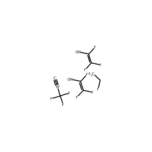 FCC(F)(F)F.O=NC(F)=C(F)F.O=NC(F)=C(F)F.[C-]#[N+]C(F)(F)F